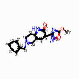 CC(C)Oc1nc(-c2cc3c([nH]c2=O)CCN(Cc2ccccc2)C3)no1